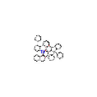 c1ccc(-c2ccccc2-c2c(-c3ccccc3)cccc2N(c2ccc3c(c2)C(c2ccccc2)(c2ccccc2)c2ccccc2-3)c2cccc3ccccc23)cc1